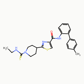 CCNC(=S)N1CCC(c2nc(C(=O)Nc3ccccc3-c3ccc(C)cc3)cs2)CC1